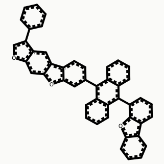 c1ccc(-c2coc3cc4oc5cc(-c6c7ccccc7c(-c7cccc8c7oc7ccccc78)c7ccccc67)ccc5c4cc23)cc1